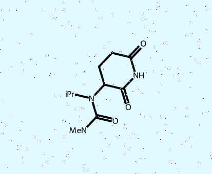 CNC(=O)N(C(C)C)C1CCC(=O)NC1=O